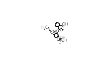 C=C[CH2][Pb][CH2]c1ccccc1.O=C(O)c1ccccc1C(=O)O.O=P(O)(O)O